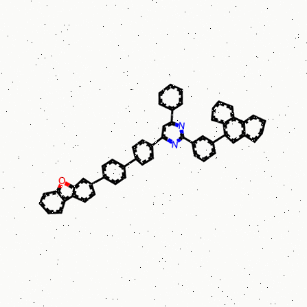 c1ccc(-c2cc(-c3ccc(-c4ccc(-c5ccc6c(c5)oc5ccccc56)cc4)cc3)nc(-c3cccc(-c4cc5ccccc5c5ccccc45)c3)n2)cc1